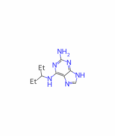 CCC(CC)Nc1nc(N)nc2[nH]cnc12